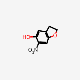 O=[N+]([O-])c1cc2c(cc1O)CCO2